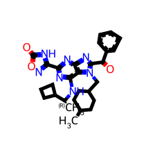 CC1CCC(Cn2c(C(=O)c3ccccc3)nc3nc(-c4noc(=O)[nH]4)nc(N[C@H](C)C4CCC4)c32)CC1